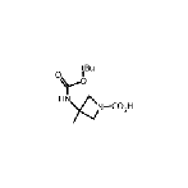 CC1(NC(=O)OC(C)(C)C)CN(C(=O)O)C1